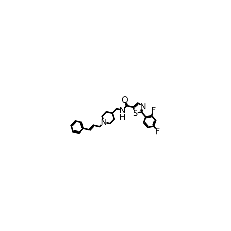 O=C(NCC1CCN(CC=Cc2ccccc2)CC1)c1cnc(-c2ccc(F)cc2F)s1